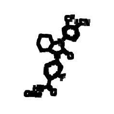 CONC(=O)c1ccc(N2C(=O)N(c3ccc(C#N)c(C(F)(F)F)c3)C3CCCCC32)cc1F